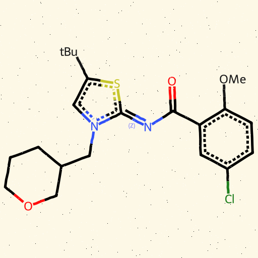 COc1ccc(Cl)cc1C(=O)/N=c1\sc(C(C)(C)C)cn1CC1CCCOC1